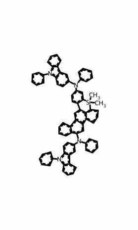 C[Si]1(C)c2cc(N(c3ccccc3)c3ccc4c(c3)c3ccccc3n4-c3ccccc3)ccc2-c2cc3c4ccccc4c(N(c4ccccc4)c4ccc5c(c4)c4ccccc4n5-c4ccccc4)cc3c3cccc1c23